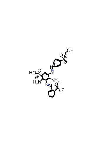 COC(=O)c1ccccc1/N=N/c1c(N)c(/N=N/c2ccc(S(=O)(=O)CCO)cc2)cc(S(=O)(=O)O)c1N